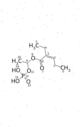 CCC=C(CC)C(=O)OC(C)OP(=O)(O)O